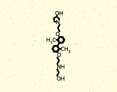 Cc1c(OCCCNCCCO)cccc1-c1cccc(OCCCN2CCC(O)C2)c1C